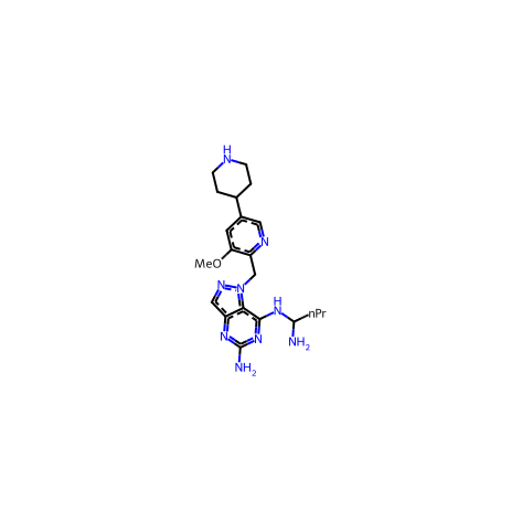 CCCC(N)Nc1nc(N)nc2cnn(Cc3ncc(C4CCNCC4)cc3OC)c12